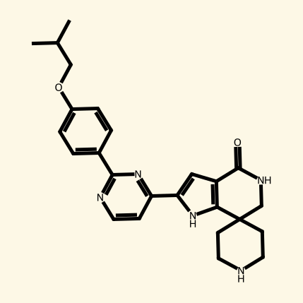 CC(C)COc1ccc(-c2nccc(-c3cc4c([nH]3)C3(CCNCC3)CNC4=O)n2)cc1